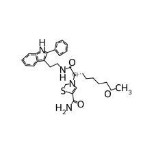 CC(=O)CCCCC[C@@H](C(=O)NCCc1c(-c2ccccc2)[nH]c2ccccc12)N1C=C(C(N)=O)SC1